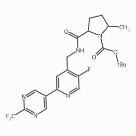 CC1CCC(C(=O)NCc2cc(-c3cnc(C(F)(F)F)nc3)ncc2F)N1C(=O)OC(C)(C)C